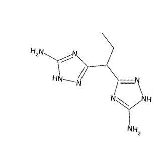 [CH2]CC(c1n[nH]c(N)n1)c1n[nH]c(N)n1